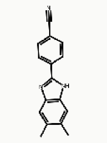 Cc1cc2nc(-c3ccc(C#N)cc3)[nH]c2cc1C